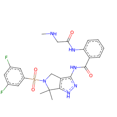 CNCC(=O)Nc1ccccc1C(=O)Nc1n[nH]c2c1CN(S(=O)(=O)c1cc(F)cc(F)c1)C2(C)C